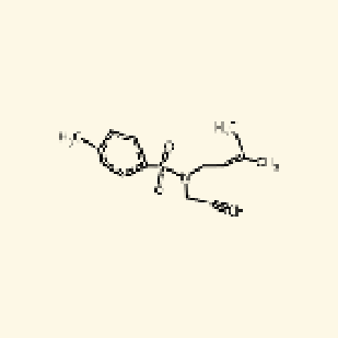 C#CCN(CC=C(C)C)S(=O)(=O)c1ccc(C)cc1